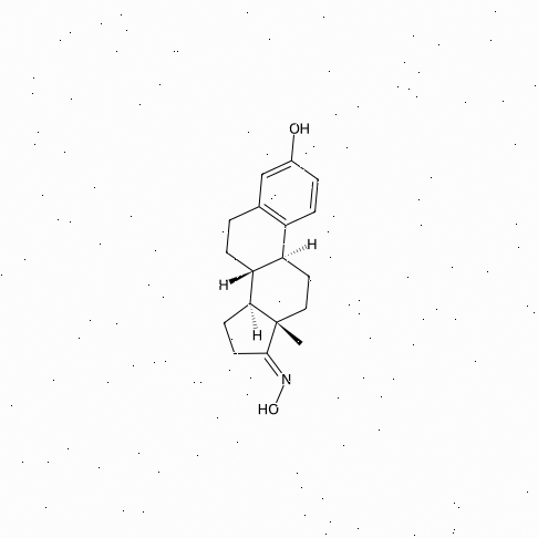 C[C@]12CC[C@@H]3c4ccc(O)cc4CC[C@H]3[C@@H]1CCC2=NO